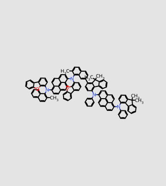 Cc1ccc2ccccc2c1N(c1ccc2ccc3c(N(c4c(C)ccc5ccc(-c6ccc(N(c7ccccc7)c7ccc8ccc9c(N(c%10ccccc%10)c%10cccc%11c%10-c%10ccccc%10C%11(C)C)ccc%10ccc7c8c%109)c7c6C(C)(C)c6ccccc6-7)cc45)c4cccc5c4oc4ccccc45)ccc4ccc1c2c43)c1cccc2c1oc1ccccc12